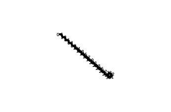 CCCCCCCCCCCCCCCCCCCCCCCCCCCCCC1CCCC1